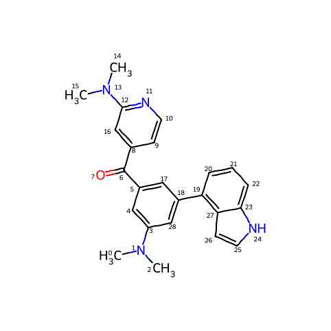 CN(C)c1cc(C(=O)c2ccnc(N(C)C)c2)cc(-c2cccc3[nH]ccc23)c1